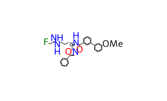 COc1cccc(-c2cccc(C(=O)N[C@@H](CCCNC(=N)CF)c3ncc(-c4ccccc4)o3)c2)c1